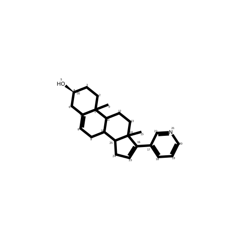 CC12CC[C@H](O)CC1=CCC1C2CCC2(C)C(c3cccnc3)=CCC12